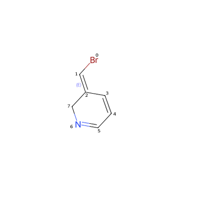 Br/C=C1\C=CC=NC1